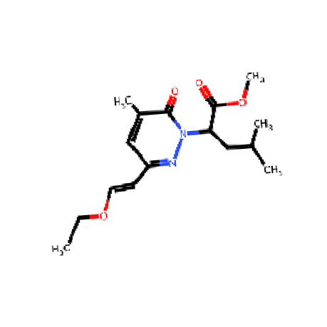 CCOC=Cc1cc(C)c(=O)n(C(CC(C)C)C(=O)OC)n1